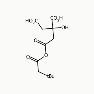 CC(C)(C)CC(=O)OC(=O)CC(O)(CC(=O)O)C(=O)O